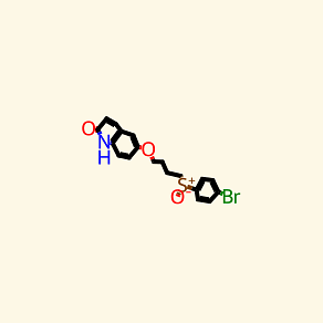 O=c1ccc2cc(OCCCC[S+]([O-])c3ccc(Br)cc3)ccc2[nH]1